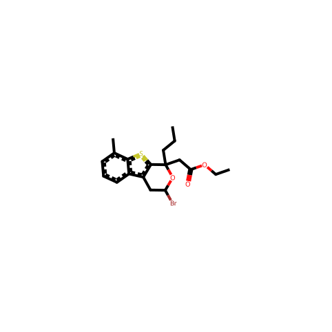 CCCC1(CC(=O)OCC)OC(Br)Cc2c1sc1c(C)cccc21